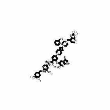 COc1nc2[nH]cc(F)c2cc1Oc1cc(N2CCC3(CC2)CC(N2CCN(Cc4ccnc5oc(C)nc45)C[C@H]2c2ccccc2C(C)C)C3)ccc1C(=O)NS(=O)(=O)c1cnc(NCC2CCC(C)(O)CC2)c([N+](=O)[O-])c1